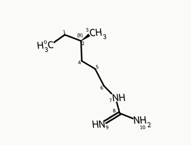 CC[C@@H](C)CCCNC(=N)N